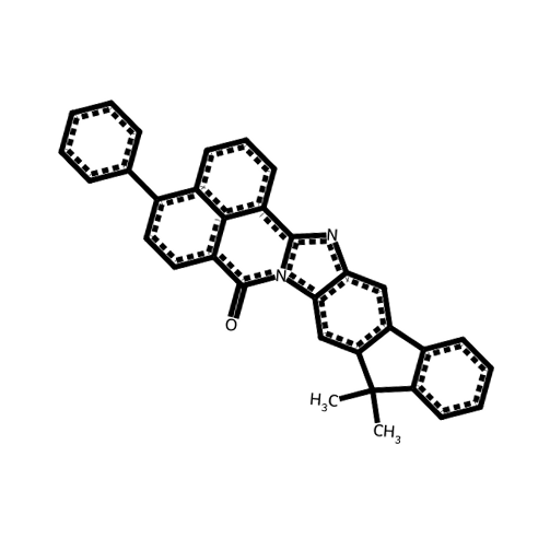 CC1(C)c2ccccc2-c2cc3nc4c5cccc6c(-c7ccccc7)ccc(c(=O)n4c3cc21)c65